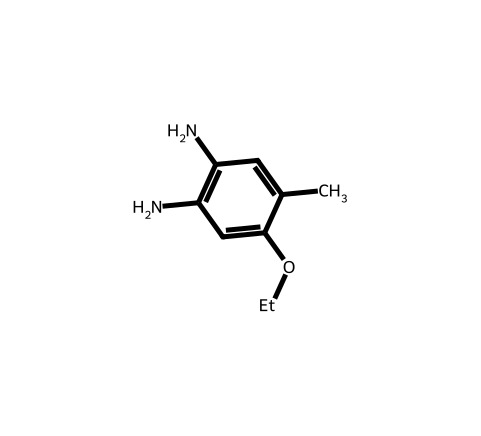 CCOc1cc(N)c(N)cc1C